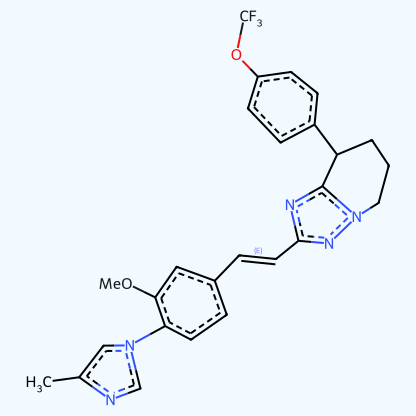 COc1cc(/C=C/c2nc3n(n2)CCCC3c2ccc(OC(F)(F)F)cc2)ccc1-n1cnc(C)c1